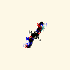 Cc1c(-c2nc3cc(COC(=O)[C@@H]4CCCN4)c(OC(F)F)cc3o2)cccc1-c1cccc(-c2nc3cc(CNCC4CCC(=O)N4)cc(C#N)c3o2)c1C